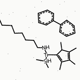 CCCCCCCC[NH][Ti]([C]1=C(C)C(C)=C(C)C1C)[SiH](C)C.c1ccc(-c2ccccc2)cc1